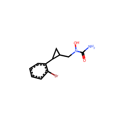 NC(=O)N(O)CC1CC1c1ccccc1Br